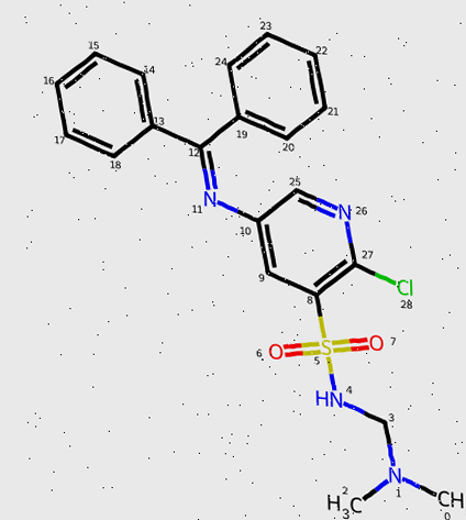 CN(C)CNS(=O)(=O)c1cc(N=C(c2ccccc2)c2ccccc2)cnc1Cl